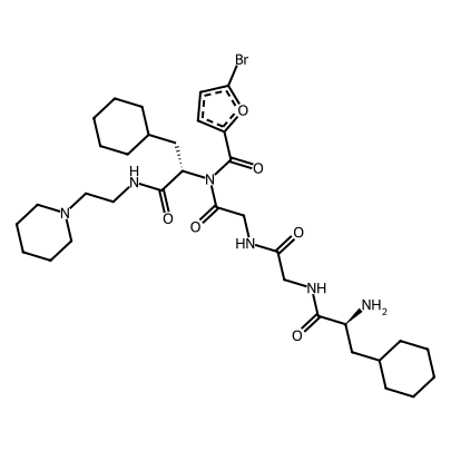 N[C@@H](CC1CCCCC1)C(=O)NCC(=O)NCC(=O)N(C(=O)c1ccc(Br)o1)[C@@H](CC1CCCCC1)C(=O)NCCN1CCCCC1